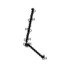 CC(C)C(=O)COCCOCCNC(=O)COCCOCCNC(=O)COCCOCCNC(=O)CC[C@H](NC(=O)CCCCCCCCCCCCCCCCC(=O)O)C(=O)O